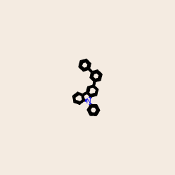 C1=CC2C3=CC(c4cccc(-c5ccccc5)c4)CC=C3N(c3ccccc3)C2C=C1